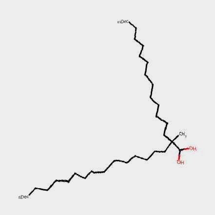 CCCCCCCCCCCCCCCCCCCCCCCCC(C)(CCCCCCCCCCCCCCCCCCCCCC)C(O)O